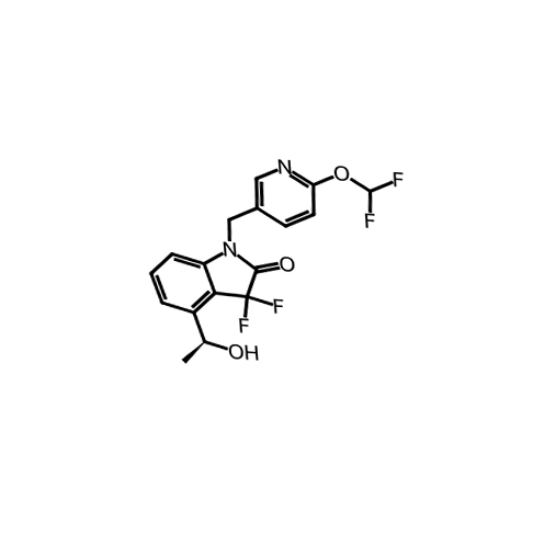 C[C@H](O)c1cccc2c1C(F)(F)C(=O)N2Cc1ccc(OC(F)F)nc1